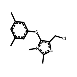 Cc1cc(C)cc(Sc2c(CCl)nc(C)n2C)c1